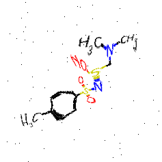 Cc1ccc(S(=O)(=O)N=S(O)CN(C)C)cc1